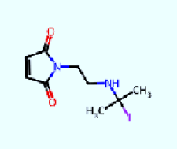 CC(C)(I)NCCN1C(=O)C=CC1=O